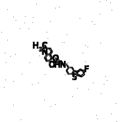 Cc1ccc2c3c(ccc2n1)OC[C@H](CNCC1CCc2sc4ccc(F)cc4c2C1)O3